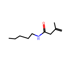 C=C(C)CC(=O)NCCCCC